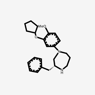 COc1ccc(N2CCCN[C@H](Cc3ccccc3)C2)cc1OC1CCCC1